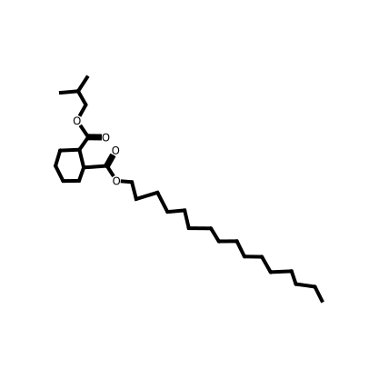 CCCCCCCCCCCCCCCCOC(=O)C1CCCCC1C(=O)OCC(C)C